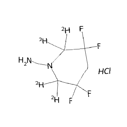 Cl.[2H]C1([2H])N(N)C([2H])([2H])C(F)(F)CC1(F)F